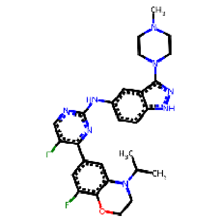 CC(C)N1CCOc2c(F)cc(-c3nc(Nc4ccc5[nH]nc(N6CCN(C)CC6)c5c4)ncc3F)cc21